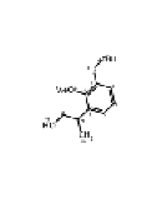 COc1c(OC(C)(C)C)cccc1[C](C)CO